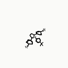 CC(C)(C)c1ccc(N2C(c3ccc(C#N)cc3)CCC2c2ccc(C#N)cc2)cc1